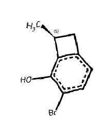 C[C@H]1Cc2ccc(Br)c(O)c21